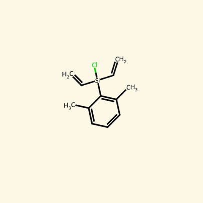 C=C[Si](Cl)(C=C)c1c(C)cccc1C